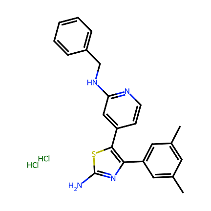 Cc1cc(C)cc(-c2nc(N)sc2-c2ccnc(NCc3ccccc3)c2)c1.Cl.Cl